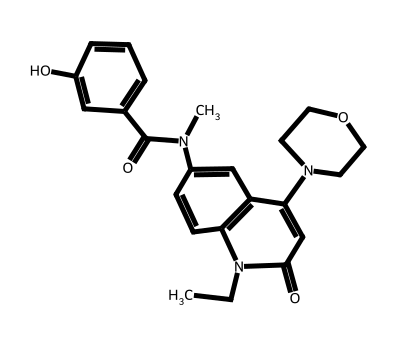 CCn1c(=O)cc(N2CCOCC2)c2cc(N(C)C(=O)c3cccc(O)c3)ccc21